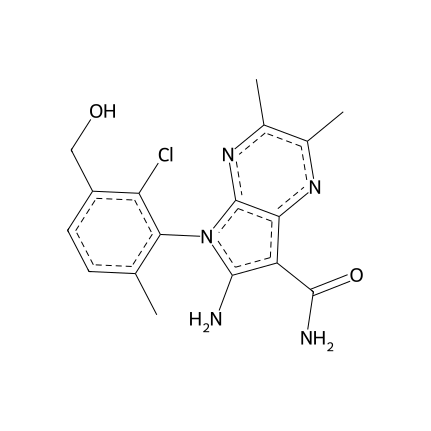 Cc1ccc(CO)c(Cl)c1-n1c(N)c(C(N)=O)c2nc(C)c(C)nc21